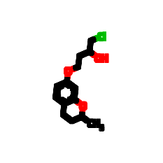 CC1CCc2ccc(OCCC(O)CCl)cc2O1